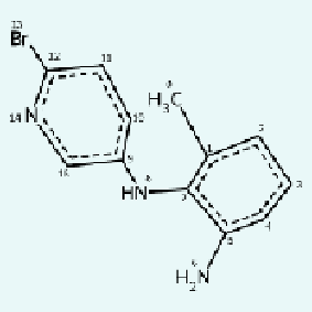 Cc1cccc(N)c1Nc1ccc(Br)nc1